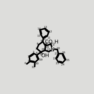 Cc1ccc(C2(O)CCC(c3ccccc3)C3(C(=O)O)CN(Cc4ccccc4)CC23)cc1C